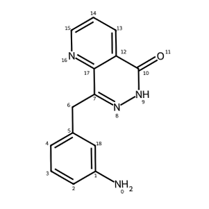 Nc1cccc(Cc2n[nH]c(=O)c3cccnc23)c1